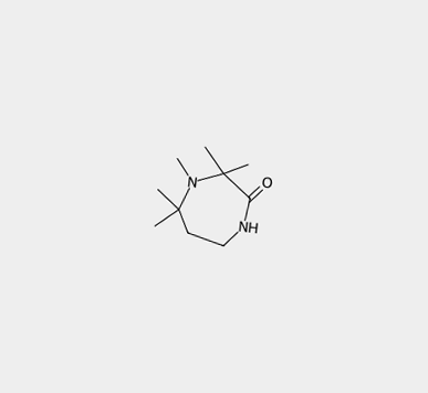 CN1C(C)(C)CCNC(=O)C1(C)C